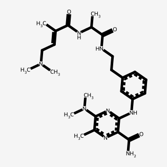 CC(=CCN(C)C)C(=O)NC(C)C(=O)NCCc1cccc(Nc2nc(N(C)C)c(C)nc2C(N)=O)c1